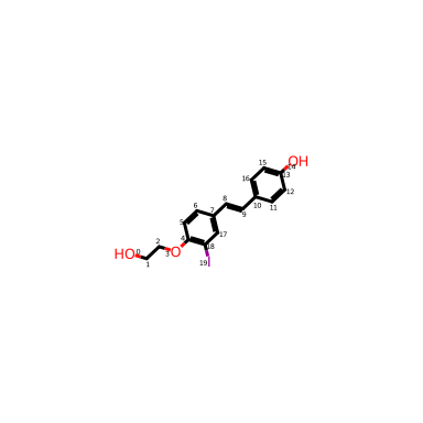 OCCOc1ccc(/C=C/c2ccc(O)cc2)cc1I